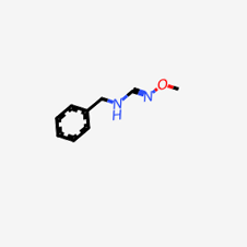 CON=CNCc1ccccc1